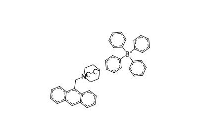 c1ccc([B-](c2ccccc2)(c2ccccc2)c2ccccc2)cc1.c1ccc2c(C[N+]34CCC(CC3)CC4)c3ccccc3cc2c1